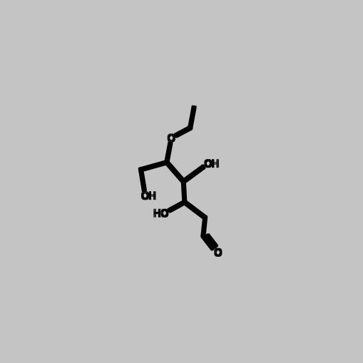 CCOC(CO)C(O)C(O)CC=O